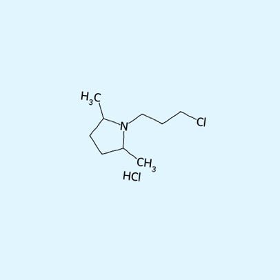 CC1CCC(C)N1CCCCl.Cl